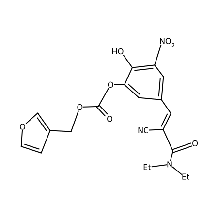 CCN(CC)C(=O)/C(C#N)=C/c1cc(OC(=O)OCc2ccoc2)c(O)c([N+](=O)[O-])c1